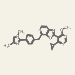 COc1ncnc(C2CC2)c1-c1nc2ccnc(Cc3ccc(-c4nc(C)cn4C)cc3)c2o1